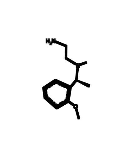 COc1ccccc1[C@H](C)N(C)CCN